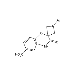 CC(=O)N1CC2(C1)Oc1ccc(C(=O)O)cc1NC2=O